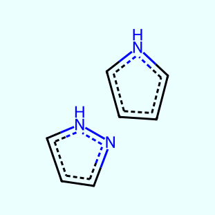 c1cc[nH]c1.c1cn[nH]c1